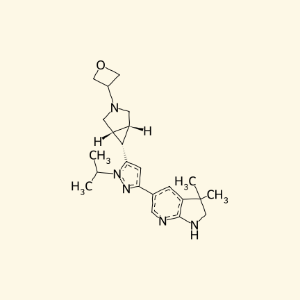 CC(C)n1nc(-c2cnc3c(c2)C(C)(C)CN3)cc1[C@@H]1[C@@H]2CN(C3COC3)C[C@@H]21